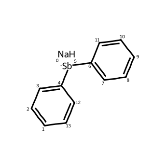 [NaH].c1cc[c]([Sb][c]2ccccc2)cc1